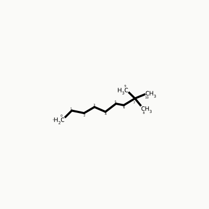 [CH2]CCCCCCC(C)(C)C